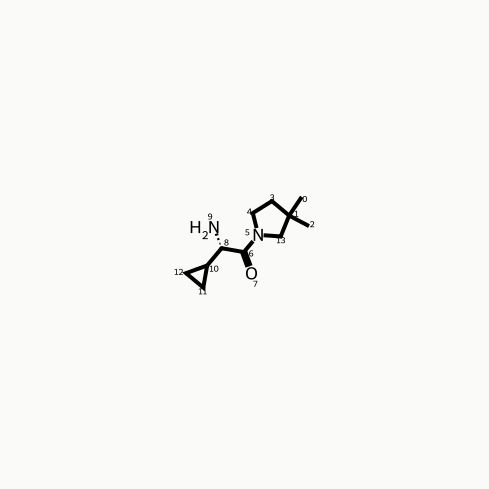 CC1(C)CCN(C(=O)[C@@H](N)C2CC2)C1